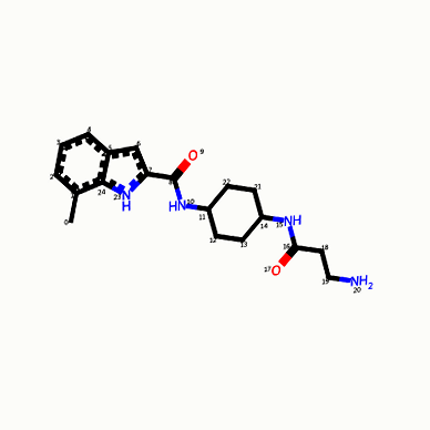 Cc1cccc2cc(C(=O)NC3CCC(NC(=O)CCN)CC3)[nH]c12